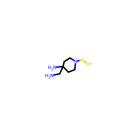 NCC1(N)CCN(SS)CC1